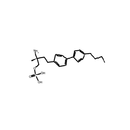 CCCCc1ccc(-c2ccc(CC[C@@](C)(N)COP(=O)(O)O)cc2)cc1